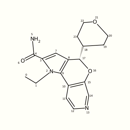 CCn1c(C(N)=O)cc2c1-c1ccncc1O[C@H]2C1CCOCC1